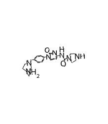 NC12CCN(Cc3ccc(-n4ccc(NC(=O)N5CCNCC5)nc4=O)cc3)CC1C2